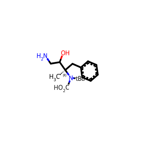 CC(C)(C)N(C(=O)O)[C@](C)(Cc1ccccc1)C(O)CN